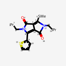 CSC1=C2C(=O)N(CC(C)C)C(c3cccs3)=C2C(=O)N1CC(C)C